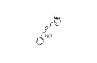 Cl.NC(=O)CCOCCc1ccccc1